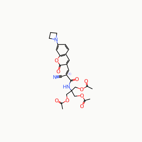 CC(=O)OCC(COC(C)=O)(COC(C)=O)NC(=O)/C(C#N)=C/c1cc2ccc(N3CCC3)cc2oc1=O